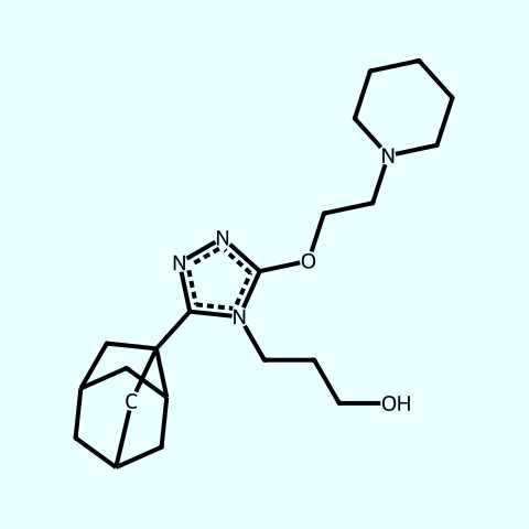 OCCCn1c(OCCN2CCCCC2)nnc1C12CC3CC(CC1C3)C2